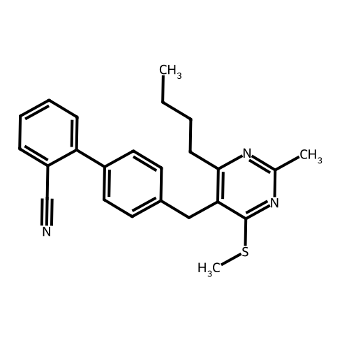 CCCCc1nc(C)nc(SC)c1Cc1ccc(-c2ccccc2C#N)cc1